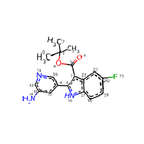 CC(C)(C)OC(=O)c1c(-c2cncc(N)c2)[nH]c2ccc(F)cc12